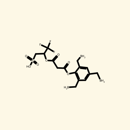 BCc1cc(CB)c(OC(=O)CC(=O)OC(CS(=O)(=O)O)C(F)(F)F)c(CB)c1